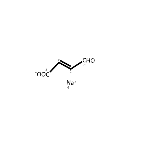 O=C/C=C/C(=O)[O-].[Na+]